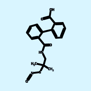 CC(C)(CNC(=O)c1ccccc1-c1ccccc1C(=O)O)SN=O